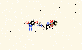 COc1n[nH]c2cc(OCCNCC(O)c3cccc(NS(=O)(=O)c4ccsc4)c3)ccc12